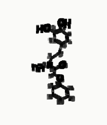 CCCN(CCc1ccc(O)c(O)c1)C(=O)COc1ccccc1